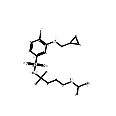 CC(C)C(C)NCCCC(C)(C)NS(=O)(=O)c1ccc(F)c(OCC2CC2)c1